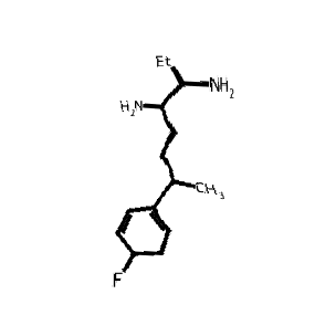 CCC(N)C(N)CCC(C)C1=CCC(F)C=C1